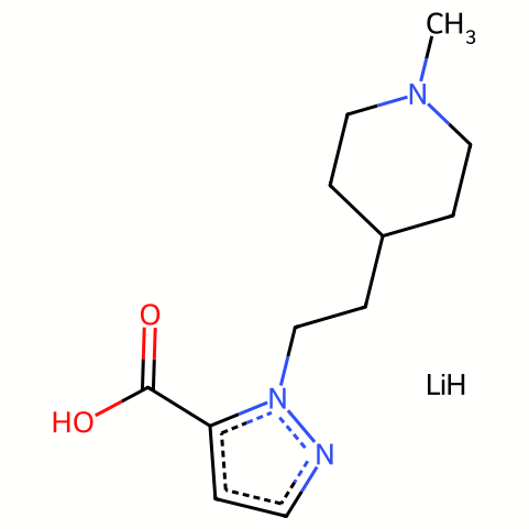 CN1CCC(CCn2nccc2C(=O)O)CC1.[LiH]